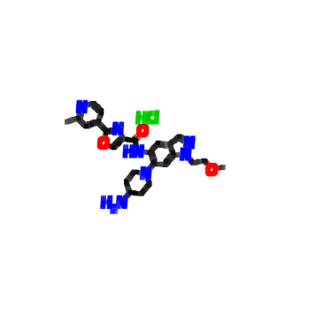 COCCn1ncc2cc(NC(=O)c3coc(-c4ccnc(C)c4)n3)c(N3CCC(N)CC3)cc21.Cl